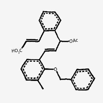 CC(=O)OC(/C=C/c1cccc(C)c1OCc1ccccc1)c1ccccc1/C=C/C(=O)O